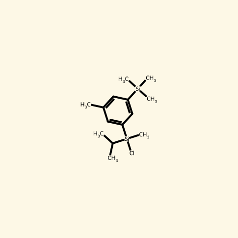 Cc1cc([Si](C)(C)C)cc([Si](C)(Cl)C(C)C)c1